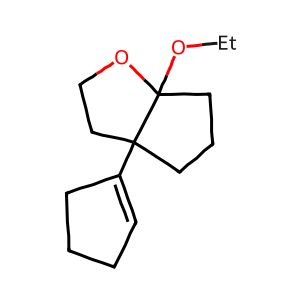 CCOC12CCCC1(C1=CCCC1)CCO2